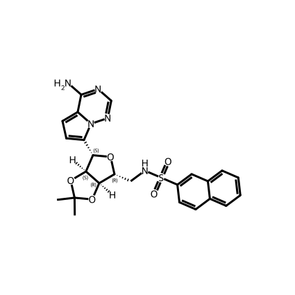 CC1(C)O[C@@H]2[C@H](O1)[C@@H](CNS(=O)(=O)c1ccc3ccccc3c1)O[C@H]2c1ccc2c(N)ncnn12